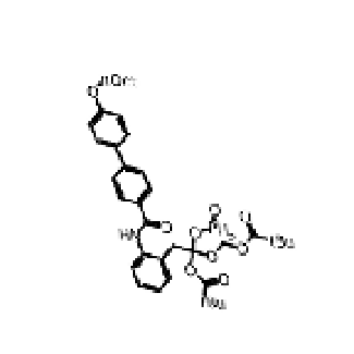 CCCCCCCCOc1ccc(-c2ccc(C(=O)Nc3ccccc3CC(OCOC(=O)C(C)(C)C)(O[PH2]=O)OC(=O)C(C)(C)C)cc2)cc1